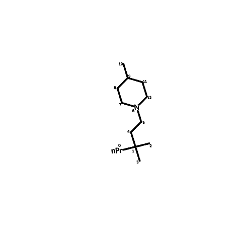 CCCC(C)(C)CCN1CCC(C)CC1